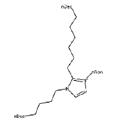 CCCCCCCCCCCCCCCCc1n(CCCCCCCCCCCCCC)cc[n+]1CCCCCCCCC